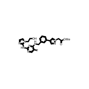 COC(=O)Cn1cc(-c2cccc(CNc3nc(Nc4nccn4CCO)ncc3F)c2)cn1